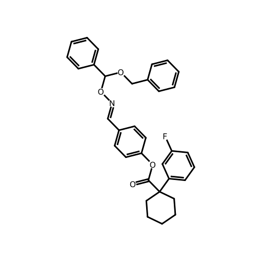 O=C(Oc1ccc(C=NOC(OCc2ccccc2)c2ccccc2)cc1)C1(c2cccc(F)c2)CCCCC1